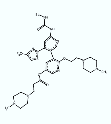 CCNC(=O)Nc1cc(-c2nc(C(F)(F)F)cs2)c(-c2cc(OC(=O)CCN3CCN(C)CC3)cnc2OCCN2CCN(C)CC2)cn1